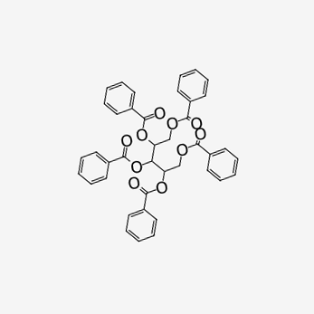 O=C(OCC(OC(=O)c1ccccc1)C(OC(=O)c1ccccc1)C(COC(=O)c1ccccc1)OC(=O)c1ccccc1)c1ccccc1